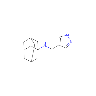 c1n[nH]cc1CNC12CC3CC(CC(C3)C1)C2